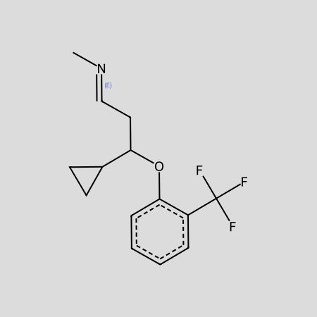 C/N=C/CC(Oc1ccccc1C(F)(F)F)C1CC1